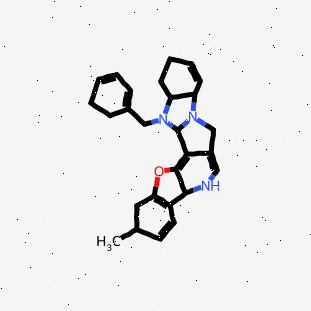 CC1C=CC2=C(C1)OC1=C3C(=CNC21)CN1C2C=CCCC2N(CC2=CC=CCC2)C31